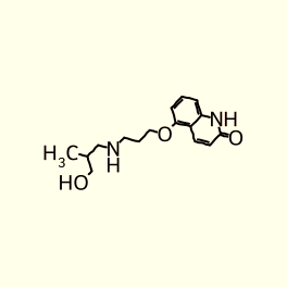 CC(CO)CNCCCOc1cccc2[nH]c(=O)ccc12